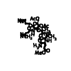 COC(=O)CCC(NC(=O)C(C)NC(=O)C(C)O[C@@H]1[C@@H](NC(=O)CCC2(C)N=N2)[C@H](OCCN=[N+]=[N-])O[C@H](COC(C)=O)[C@H]1OC(C)=O)C(N)=O